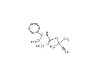 C#CC(C)(C)OC(=O)N[C@@H](c1ccccc1)[C@@H](O)C(=O)O